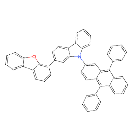 c1ccc(-c2c3ccccc3c(-c3ccccc3)c3cc(-n4c5ccccc5c5ccc(-c6cccc7c6oc6ccccc67)cc54)ccc23)cc1